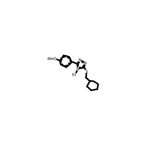 CCn1c(SCC2CCCCC2)nnc1-c1ccc(OC)cc1